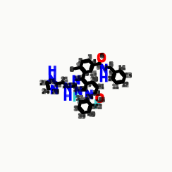 Cc1ccc(C(=O)NCc2ccccc2)cc1-c1nc(NCc2ncc[nH]2)nc2c1ccc(=O)n2-c1c(F)cccc1F